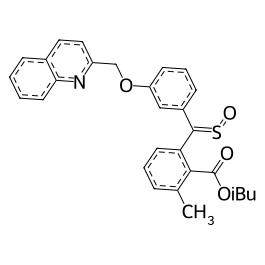 Cc1cccc(C(=S=O)c2cccc(OCc3ccc4ccccc4n3)c2)c1C(=O)OCC(C)C